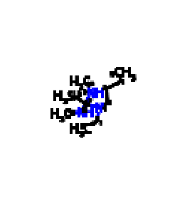 CCCCN(CC)C([SiH3])(NC)NC